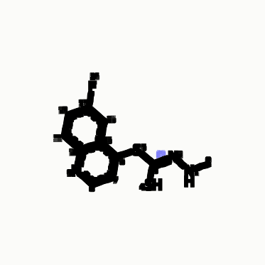 CN/N=C(\S)Sc1ccnc2ccc(F)cc12